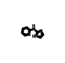 c1ccc(Nc2ncc[nH]2)nc1